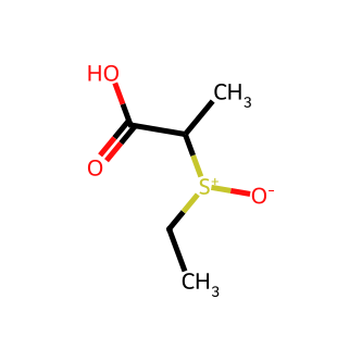 CC[S+]([O-])C(C)C(=O)O